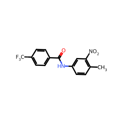 Cc1ccc(NC(=O)c2ccc(C(F)(F)F)cc2)cc1[N+](=O)[O-]